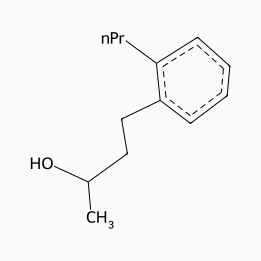 CCCc1ccccc1CCC(C)O